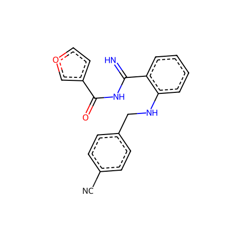 N#Cc1ccc(CNc2ccccc2C(=N)NC(=O)c2ccoc2)cc1